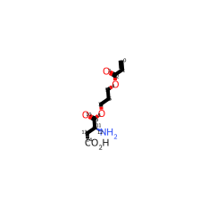 C=CC(=O)OCCCOC(=O)[C@@H](N)CC(=O)O